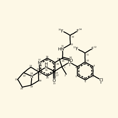 CC(C)(Oc1ccc(Cl)cc1C(F)F)C(=O)NC1CC2CCC(C1)N2c1ccc(C(=O)NCC(F)F)cn1